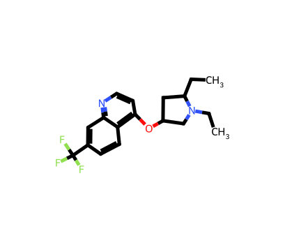 CCC1CC(Oc2ccnc3cc(C(F)(F)F)ccc23)CN1CC